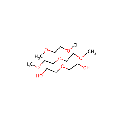 COCCOC.COCCOCCOC.OCCOCCO